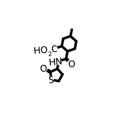 CC1CCC(C(=O)NC2CCSC2=O)C(C(=O)O)C1